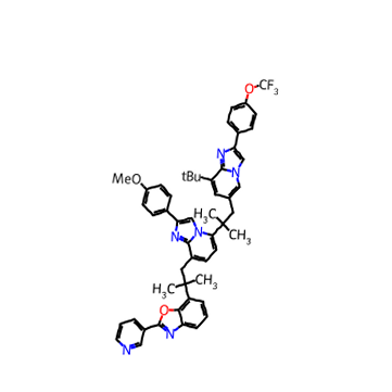 COc1ccc(-c2cn3c(C(C)(C)Cc4cc(C(C)(C)C)c5nc(-c6ccc(OC(F)(F)F)cc6)cn5c4)ccc(CC(C)(C)c4cccc5nc(-c6cccnc6)oc45)c3n2)cc1